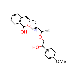 C=CC1=C(C(O)O/C=C/C(CC)OCC(O)[C@@H]2CC=C(OC)CC2)CCC=C1